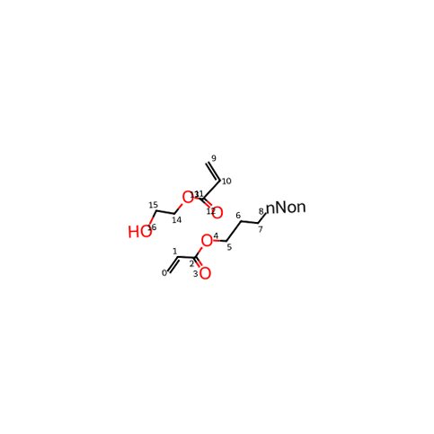 C=CC(=O)OCCCCCCCCCCCC.C=CC(=O)OCCO